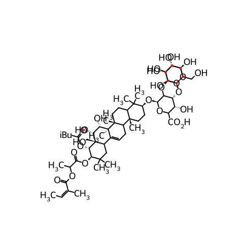 C/C=C(/C)C(=O)OC(C)C(=O)O[C@H]1[C@H](OC(=O)C(C)CC)[C@@]2(CO)C(CC1(C)C)C1=CCC3[C@@]4(C)CC[C@H](O[C@@H]5OC(C(=O)O)[C@@H](O)[C@@H](O[C@@H]6OC[C@@H](O)[C@@H](O)C6O)C5O[C@@H]5OC(CO)[C@H](O)[C@@H](O)C5O)C(C)(C)C4CC[C@@]3(C)[C@]1(C)[C@@H](O)[C@H]2O